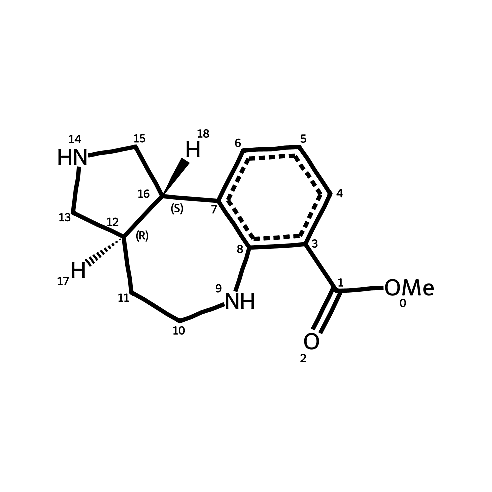 COC(=O)c1cccc2c1NCC[C@H]1CNC[C@H]21